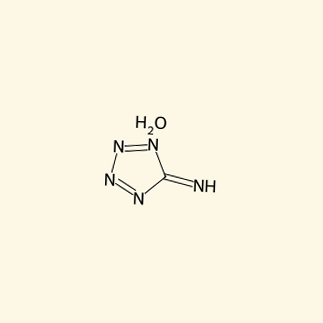 N=C1N=NN=N1.O